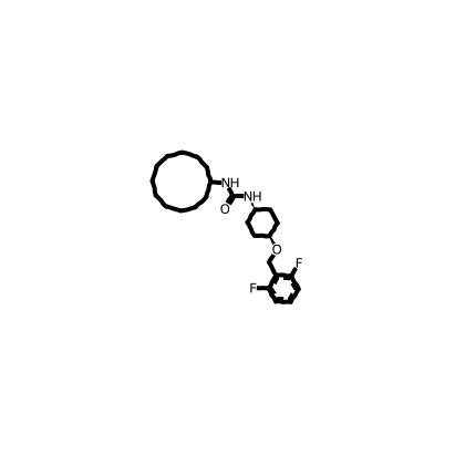 O=C(NC1CCCCCCCCCCC1)N[C@H]1CC[C@H](OCc2c(F)cccc2F)CC1